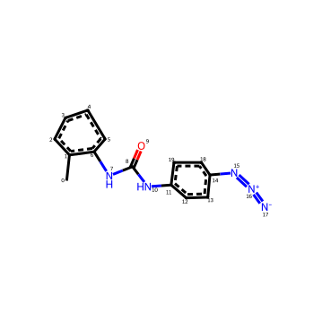 Cc1ccccc1NC(=O)Nc1ccc(N=[N+]=[N-])cc1